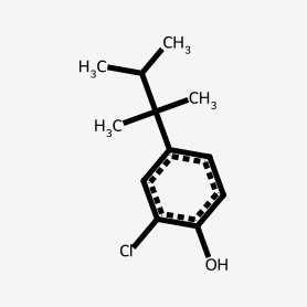 CC(C)C(C)(C)c1ccc(O)c(Cl)c1